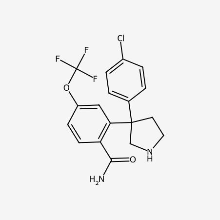 NC(=O)c1ccc(OC(F)(F)F)cc1C1(c2ccc(Cl)cc2)CCNC1